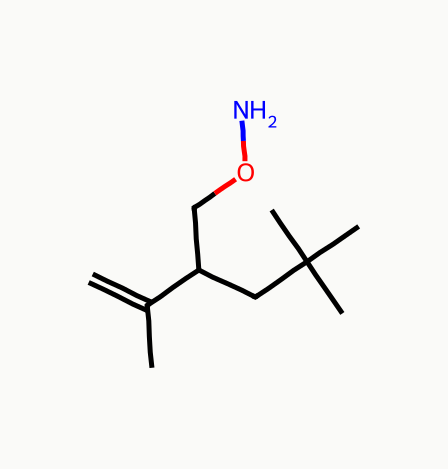 C=C(C)C(CON)CC(C)(C)C